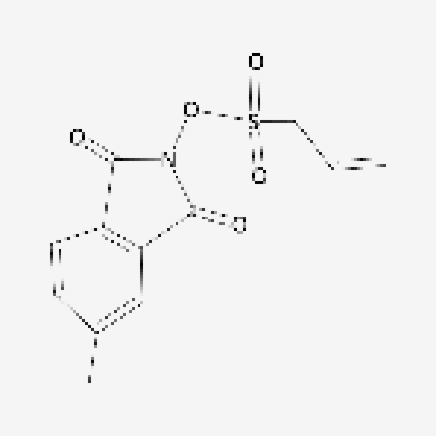 C=CCS(=O)(=O)ON1C(=O)c2ccc(C)cc2C1=O